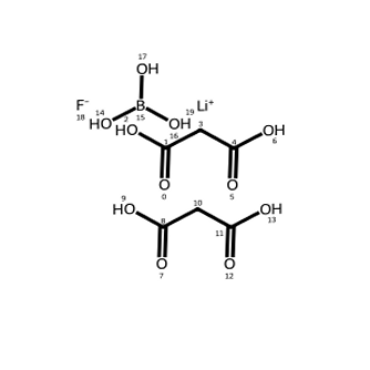 O=C(O)CC(=O)O.O=C(O)CC(=O)O.OB(O)O.[F-].[Li+]